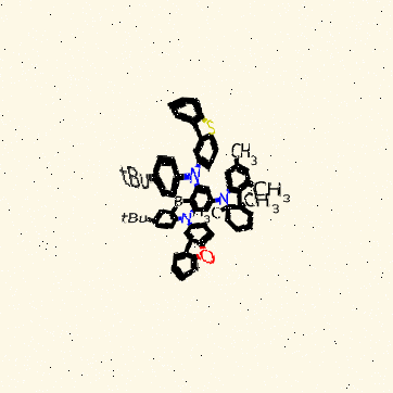 Cc1cc(C)c2c(c1)N(c1cc3c4c(c1)N(c1ccc5sc6ccccc6c5c1)c1ccc(C(C)(C)C)cc1B4c1cc(C(C)(C)C)ccc1N3c1ccc3oc4ccccc4c3c1)C1(C)CCCCC21C